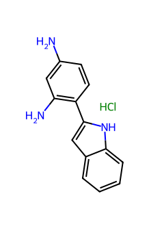 Cl.Nc1ccc(-c2cc3ccccc3[nH]2)c(N)c1